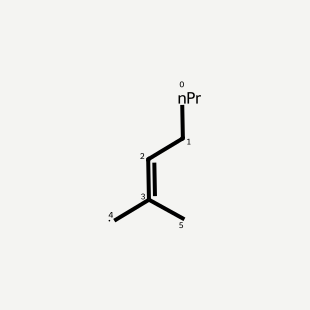 [CH2]CCCC=C([CH2])C